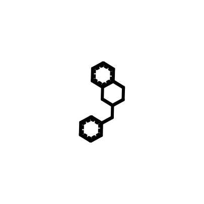 c1ccc(CC2CCc3ccccc3C2)cc1